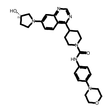 O=C(Nc1ccc(N2CCOCC2)cc1)N1CCC(c2ncnc3cc(N4CC[C@H](O)C4)ccc23)CC1